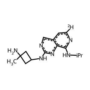 [2H]c1cc2cnc(NC3CC(C)(N)C3)nc2c(NC(C)C)n1